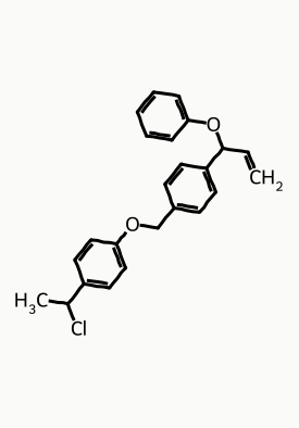 C=CC(Oc1ccccc1)c1ccc(COc2ccc(C(C)Cl)cc2)cc1